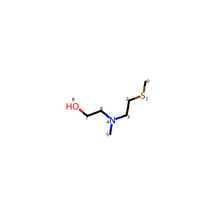 CSCCN(C)CCO